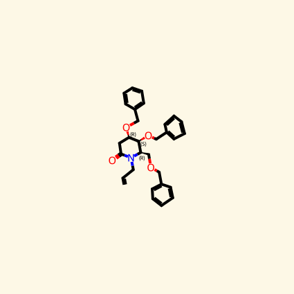 C=CCN1C(=O)C[C@@H](OCc2ccccc2)[C@@H](OCc2ccccc2)[C@H]1COCc1ccccc1